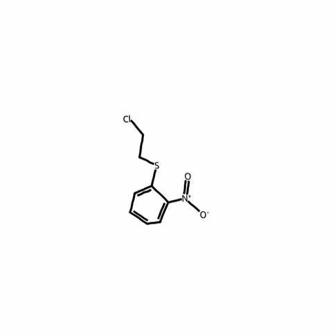 O=[N+]([O-])c1ccccc1SCCCl